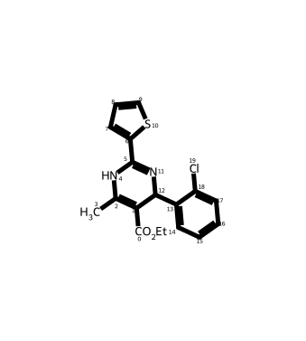 CCOC(=O)C1=C(C)NC(c2cccs2)=NC1c1ccccc1Cl